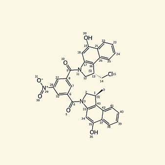 C[C@@H]1CN(C(=O)c2cc(C(=O)N3C[C@@H](CCl)c4c3cc(O)c3ccccc43)cc([N+](=O)[O-])c2)c2cc(O)c3ccccc3c21